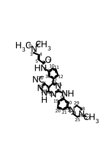 CN(C)C/C=C/C(=O)Nc1cccc(C2=NC(Nc3cccc(N4CCN(C)CC4)c3)=NC3NN=C(C#N)C23)c1